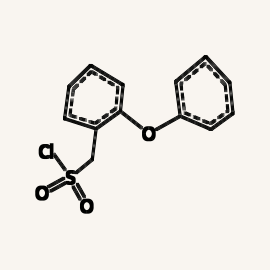 O=S(=O)(Cl)Cc1ccccc1Oc1ccccc1